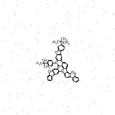 CC(C)(C)c1ccc(N2B3c4cc5oc6ccccc6c5cc4-n4c5ccc6c(c5c5ccc(c3c54)-c3cc4c(cc32)oc2cc(C(C)(C)C)ccc24)OCc2ccccc2-6)cc1